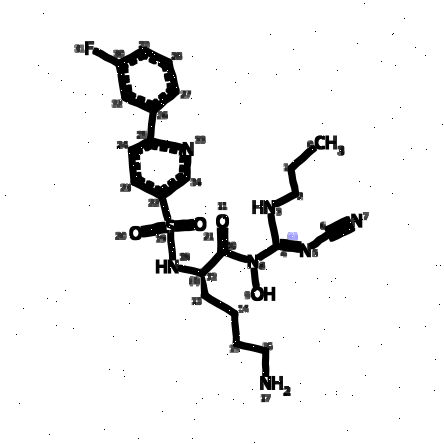 CCCN/C(=N\C#N)N(O)C(=O)[C@@H](CCCCN)NS(=O)(=O)c1ccc(-c2cccc(F)c2)nc1